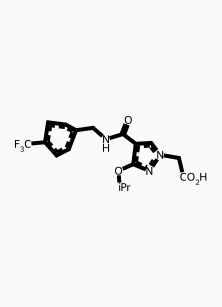 CC(C)Oc1nn(CC(=O)O)cc1C(=O)NCc1ccc(C(F)(F)F)cc1